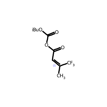 C/C(=C/C(=O)OC(=O)OCC(C)C)C(F)(F)F